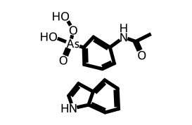 CC(=O)Nc1cccc([As](=O)(O)OO)c1.c1ccc2[nH]ccc2c1